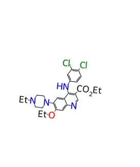 CCOC(=O)c1cnc2cc(OCC)c(N3CCN(CC)CC3)cc2c1Nc1ccc(Cl)c(Cl)c1